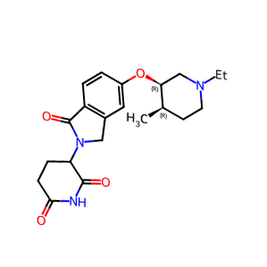 CCN1CC[C@@H](C)[C@@H](Oc2ccc3c(c2)CN(C2CCC(=O)NC2=O)C3=O)C1